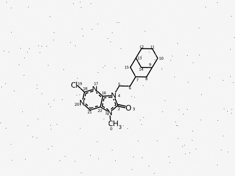 Cn1c(=O)n(CCC2CC3CCCC(C3)C2)c2nc(Cl)ncc21